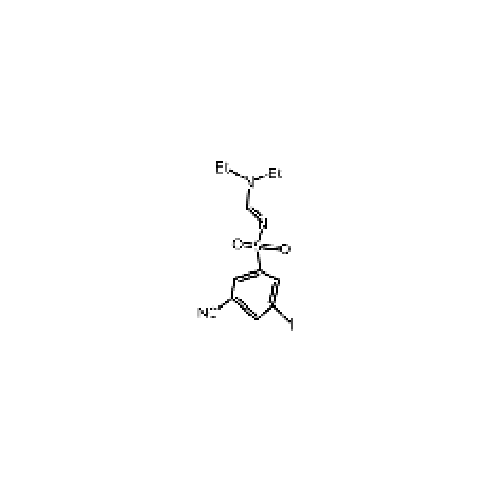 CCN(C=NS(=O)(=O)c1cc(I)cc(C#N)c1)CC